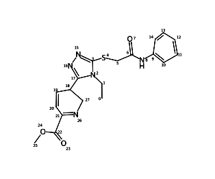 CCn1c(SCC(=O)Nc2ccccc2)nnc1C1C=CC(C(=O)OC)=NC1